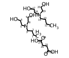 CCCCN(CCO)CCO.CCCCN(CCO)CCO.O=C(O)CCC(=O)O